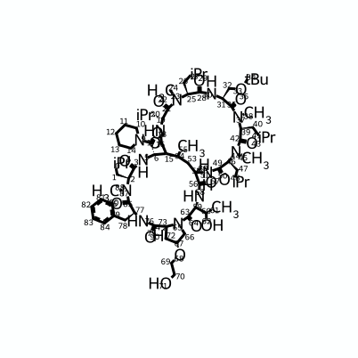 CC(C)C[C@H]1C(=O)N[C@H](C(=O)N2CCCCC2)C2C(=O)N[C@H](C(C)C)C(=O)N(C)[C@@H](CC(C)C)C(=O)N[C@@H](COC(C)(C)C)C(=O)N(C)[C@@H](CC(C)C)C(=O)N(C)[C@@H](CC(C)C)C(=O)N[C@@H](CC2C)C(=O)N[C@@H]([C@@H](C)O)C(=O)N2C[C@H](OCCO)C[C@H]2C(=O)N[C@@H](Cc2ccccc2)C(=O)N1C